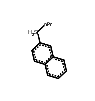 CCC[SiH2]c1ccc2ccccc2c1